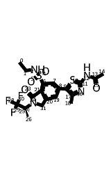 CCNS(=O)(=O)c1cc(-c2sc(NC(C)=O)nc2C)cc2c1C(=O)N([C@@H](C)C(F)(F)F)C2